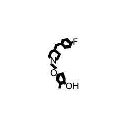 Cc1cc(OCCN2CCC(Cc3ccc(F)cc3)CC2)ccc1O